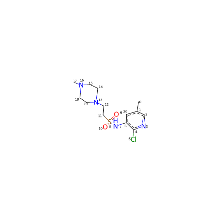 Cc1cnc(Cl)c(NS(=O)(=O)CCN2CCN(C)CC2)c1